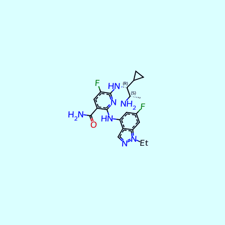 CCn1ncc2c(Nc3nc(N[C@H](C4CC4)[C@H](C)N)c(F)cc3C(N)=O)cc(F)cc21